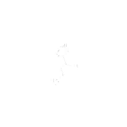 NCCC(O)c1cnon1